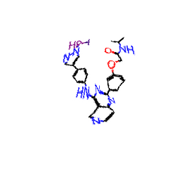 CC(C)NC(=O)COc1cccc(-c2nc(Nc3ccc(-c4cnn(PI)c4)cc3)c3cnccc3n2)c1